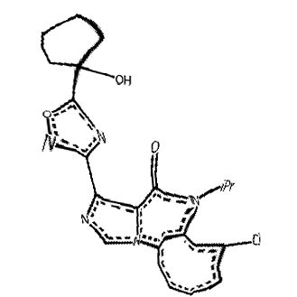 CC(C)n1c(=O)c2c(-c3noc(C4(O)CCCC4)n3)ncn2c2cccc(Cl)c21